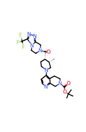 C[C@@H]1CN(c2ccnc3c2CCN(C(=O)OC(C)(C)C)C3)CC[C@@H]1C(=O)N1CCn2c(nnc2C(F)(F)F)C1